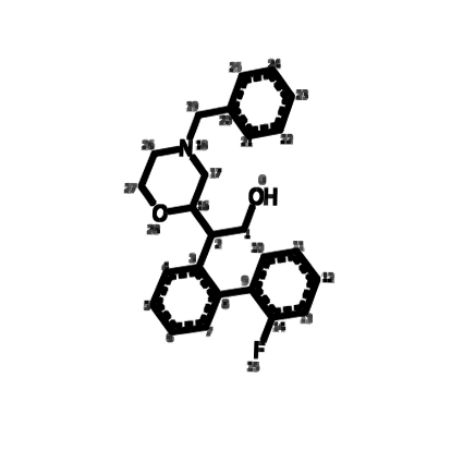 OCC(c1ccccc1-c1ccccc1F)C1CN(Cc2ccccc2)CCO1